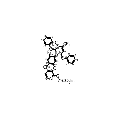 CCOC(=O)COc1ncccc1Oc1cc(N2C(Oc3ccccc3)C=C(C(F)(F)F)N(C)C2Oc2ccccc2)c(F)cc1Cl